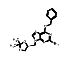 CC1(C)OC[C@H](Cn2cnc3c(OCc4ccccc4)nc(N)nc32)O1